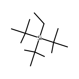 CC[Si](C(C)(C)C)(C(C)(C)C)C(C)(C)C